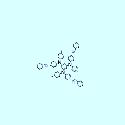 Cc1ccc(N(c2ccc(/C=C/c3ccccc3)cc2)c2cc(N(c3ccc(C)cc3)c3ccc(/C=C/c4ccccc4)cc3)cc(N(c3ccc(C)cc3)c3ccc(/C=C/c4ccccc4)cc3)c2)cc1